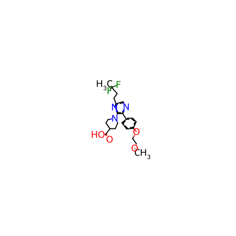 COCCOc1ccc(-c2ncc(CCC(C)(F)F)nc2N2CCC(C(=O)O)CC2)cc1